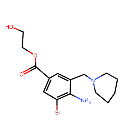 Nc1c(Br)cc(C(=O)OCCO)cc1CN1CCCCC1